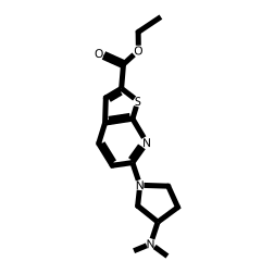 CCOC(=O)c1cc2ccc(N3CCC(N(C)C)C3)nc2s1